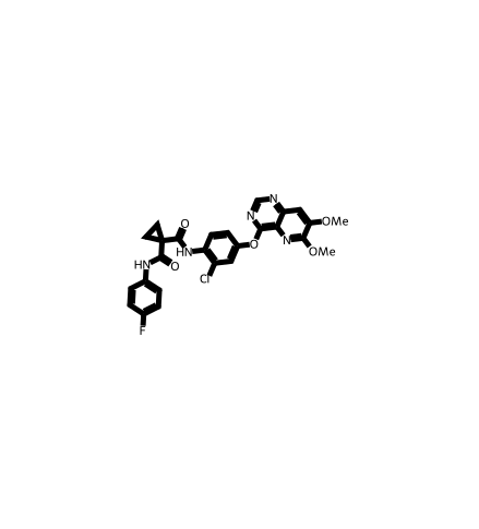 COc1cc2ncnc(Oc3ccc(NC(=O)C4(C(=O)Nc5ccc(F)cc5)CC4)c(Cl)c3)c2nc1OC